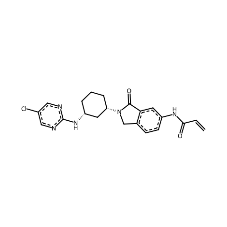 C=CC(=O)Nc1ccc2c(c1)C(=O)N([C@H]1CCC[C@@H](Nc3ncc(Cl)cn3)C1)C2